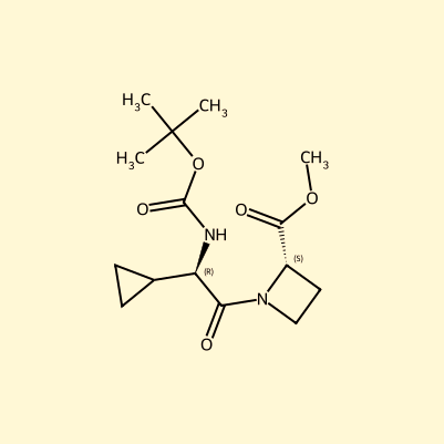 COC(=O)[C@@H]1CCN1C(=O)[C@H](NC(=O)OC(C)(C)C)C1CC1